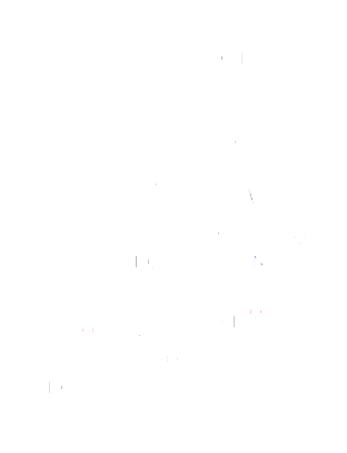 COC(=O)CC(C)C1([N+](=O)[O-])C2CC(C)C3CC4CC(C4)(C3C2)C1C